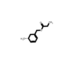 CCC(=O)OCC1=CC=C[C@H](C)C1